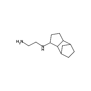 NCCNC1CCC2C3CCC(C3)C12